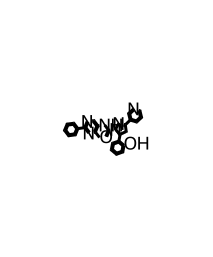 Cc1nc(-c2ccccc2)ncc1NC(=O)N1N=C(c2cccnc2)CC1c1ccccc1O